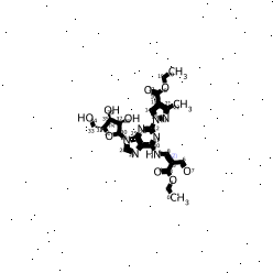 CCOC(=O)/C(C=O)=C\Nc1nc(-n2cc(C(=O)OCC)c(C)n2)nc2c1ncn2C1O[C@H](CO)[C@@H](O)[C@H]1O